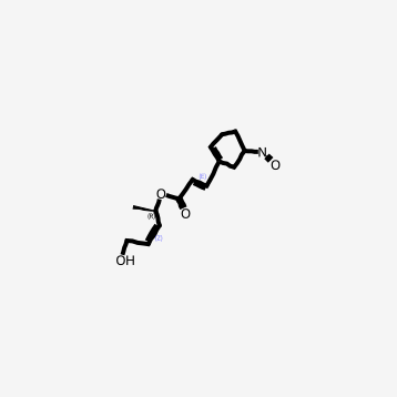 C[C@H](/C=C\CO)OC(=O)/C=C/C1=CCCC(N=O)C1